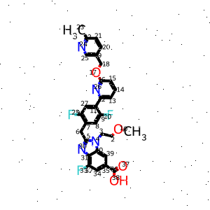 COCCn1c(Cc2cc(F)c(-c3cccc(OCc4ccc(C)nc4)n3)cc2F)nc2c(F)cc(C(=O)O)cc21